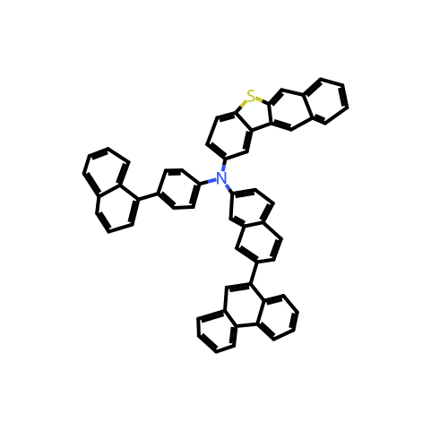 c1ccc2cc3c(cc2c1)sc1ccc(N(c2ccc(-c4cccc5ccccc45)cc2)c2ccc4ccc(-c5cc6ccccc6c6ccccc56)cc4c2)cc13